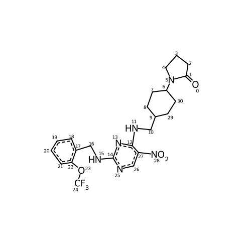 O=C1CCCN1C1CCC(CNc2nc(NCc3ccccc3OC(F)(F)F)ncc2[N+](=O)[O-])CC1